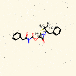 CC1(C)S[C@@H]2[C@H](OC(=O)NC(=O)Cc3ccccc3)C(=O)N2[C@@]1(Cc1ccccc1)C(=O)O